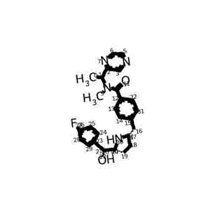 CC(c1cnccn1)N(C)C(=O)c1ccc(C[C@@H]2CC[C@H]([C@H](O)c3ccc(F)cc3)N2)cc1